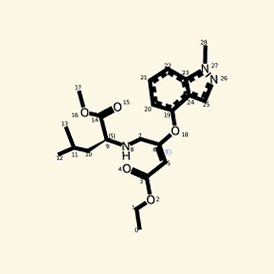 CCOC(=O)/C=C(\CN[C@@H](CC(C)C)C(=O)OC)Oc1cccc2c1cnn2C